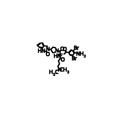 CN(C)CCCC(=O)N[C@@H](CC(=O)c1cc(Br)c(N)c(Br)c1)C(=O)N1CCC(N2Cc3ccccc3NC2=O)CC1